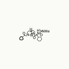 CN[C@@H](C)C(=O)N[C@H](C(=O)N1CC[C@H]2CCN(CC(=O)c3ccccc3)C[C@H]21)C1CCCCC1